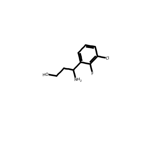 NC(CCO)c1cccc(Cl)c1F